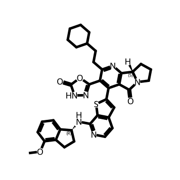 COc1cccc2c1CC[C@H]2Nc1nccc2cc(-c3c4c(nc(CCC5CCCCC5)c3-c3n[nH]c(=O)o3)[C@@H]3CCCN3C4=O)sc12